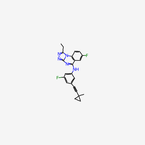 CCc1nnc2nc(Nc3cc(F)cc(C#CC4(C)CC4)c3)c3cc(F)ccc3n12